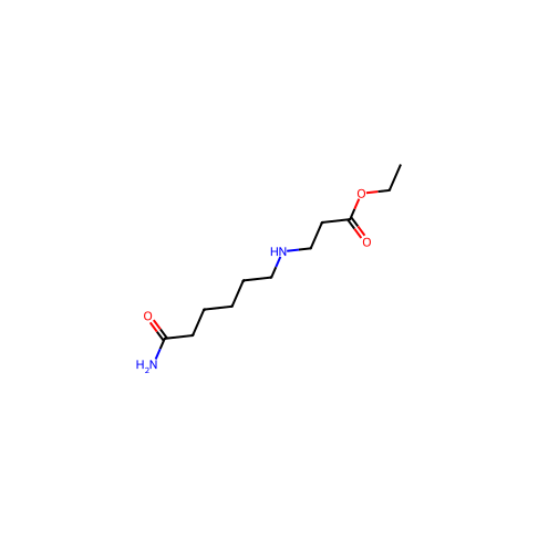 CCOC(=O)CCNCCCCCC(N)=O